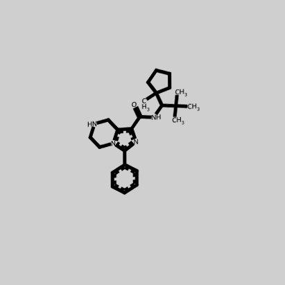 CC(C)(C)C(NC(=O)c1nc(-c2ccccc2)n2c1CNCC2)C1(C)CCCC1